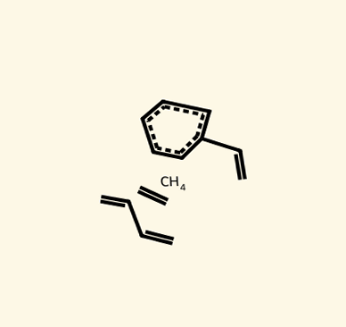 C.C=C.C=CC=C.C=Cc1ccccc1